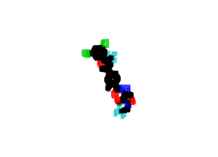 Cc1cc(C2=COC(c3cc(Cl)cc(Cl)c3)(C(F)(F)F)C2)ccc1C(=O)N[C@@H]1CON(CC(F)(F)F)C1=O